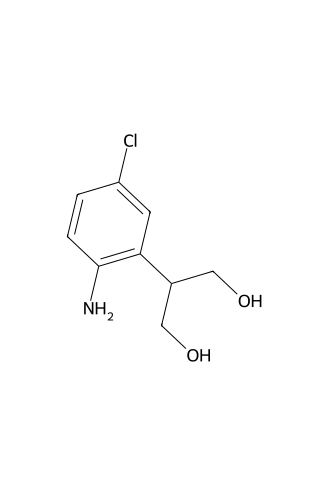 Nc1ccc(Cl)cc1C(CO)CO